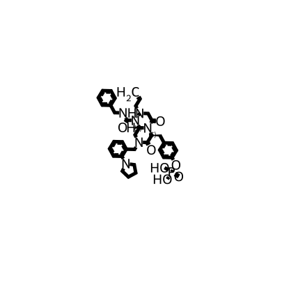 C=CCN1CC(=O)N2[C@@H](Cc3ccc(OP(=O)(O)O)cc3)C(=O)N(Cc3ccccc3N3CCCC3)C[C@@H]2N1C(=O)NCc1ccccc1